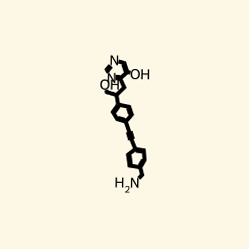 NCc1ccc(C#Cc2ccc(C(CO)Cc3ncncc3O)cc2)cc1